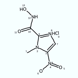 Cl.Cn1c([N+](=O)[O-])cnc1C(=O)NO